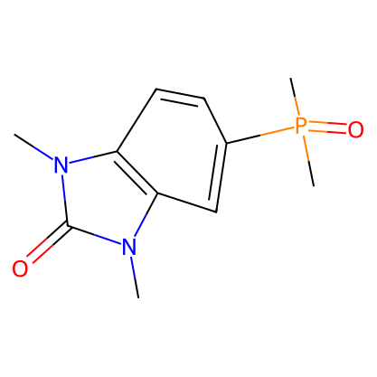 Cn1c(=O)n(C)c2cc(P(C)(C)=O)ccc21